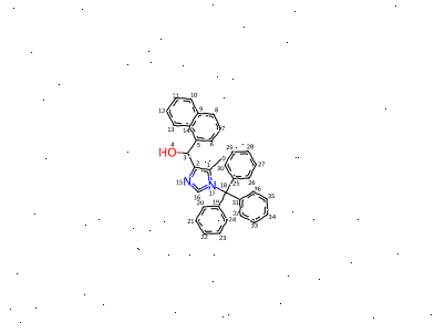 Cc1c(C(O)c2cccc3ccccc23)ncn1C(c1ccccc1)(c1ccccc1)c1ccccc1